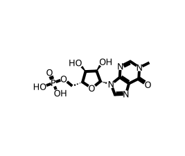 Cn1cnc2c(ncn2[C@@H]2O[C@H](COP(=O)(O)O)[C@@H](O)[C@H]2O)c1=O